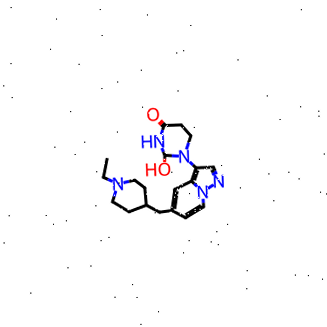 CCN1CCC(Cc2ccn3ncc(N4CCC(=O)NC4O)c3c2)CC1